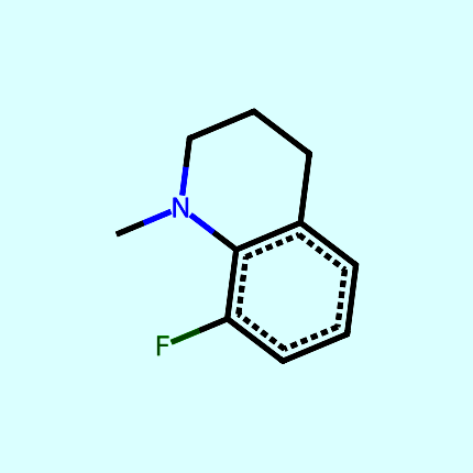 CN1CCCc2cccc(F)c21